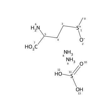 C[S+]([O-])CCC(N)C(=O)O.N.N.O=S(O)O